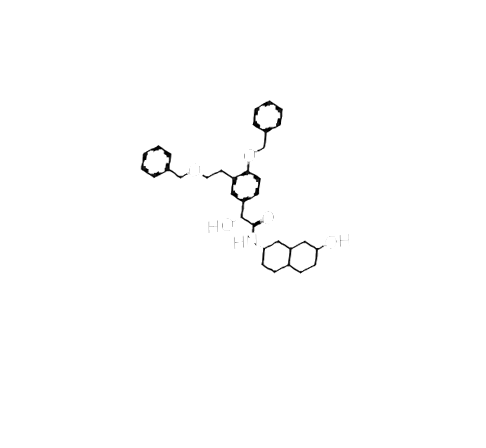 O=C(N[C@H]1CCC2CCC(O)CC2C1)[C@H](O)c1ccc(OCc2ccccc2)c(CCOCc2ccccc2)c1